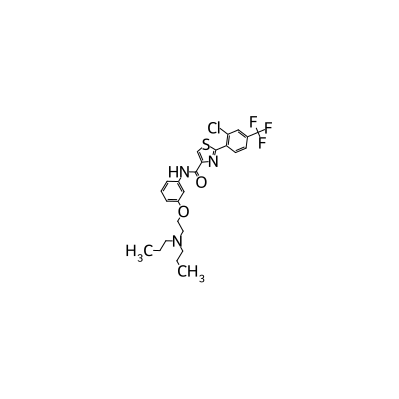 CCCN(CCC)CCOc1cccc(NC(=O)c2csc(-c3ccc(C(F)(F)F)cc3Cl)n2)c1